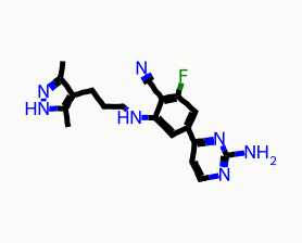 Cc1n[nH]c(C)c1CCCNc1cc(-c2ccnc(N)n2)cc(F)c1C#N